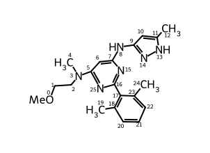 COCCN(C)c1cc(Nc2cc(C)[nH]n2)nc(-c2c(C)cccc2C)n1